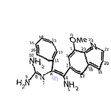 COc1cc(/C(N)=C(/N=C(N)N)c2ccccc2)cc2cccnc12